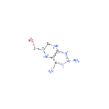 Nc1nc(N)c2c(n1)NCC(CO)N2